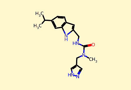 CC(C)c1ccc2cc(CNC(=O)N(C)Cc3cn[nH]c3)[nH]c2c1